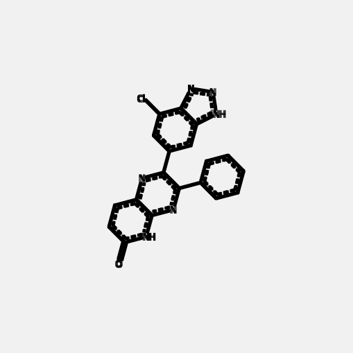 O=c1ccc2nc(-c3cc(Cl)c4nn[nH]c4c3)c(-c3ccccc3)nc2[nH]1